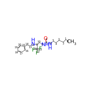 CCCCCCNC(=O)NCC(NCCc1ccccc1)C(F)(F)F